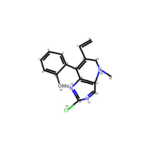 C=CC1=C(c2ccccc2OC)c2nc(Cl)ncc2N(C)C1